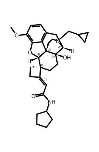 COc1ccc2c3c1O[C@H]1[C@@]4(CC/C4=C\C(=O)NC4CCCC4)CC[C@@]4(O)[C@@H](C2)N(CC2CC2)CC[C@]314